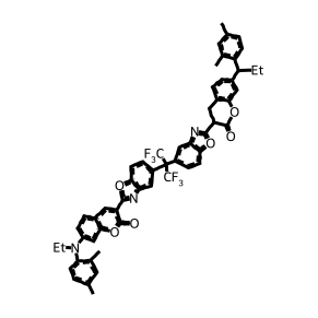 CCC(c1ccc2c(c1)OC(=O)C(c1nc3cc(C(c4ccc5oc(-c6cc7ccc(N(CC)c8ccc(C)cc8C)cc7oc6=O)nc5c4)(C(F)(F)F)C(F)(F)F)ccc3o1)C2)c1ccc(C)cc1C